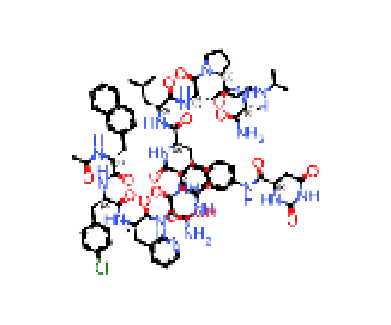 CC(=O)N[C@H](Cc1ccc2ccccc2c1)C(=O)N[C@H](Cc1ccc(Cl)cc1)C(=O)N[C@H](Cc1cccnc1)C(=O)N[C@@H](CO)C(=O)N[C@@H](Cc1ccc(NC(=O)[C@H]2CC(=O)NC(=O)N2)cc1)C(=O)N[C@H](Cc1ccc(NC(N)=O)cc1)C(=O)N[C@@H](CC(C)C)C(=O)N[C@@H](CCCCNC(C)C)C(=O)N1CCC[C@H]1C(=O)N[C@H](C)C(N)=O